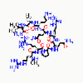 CN[C@@H](CCCNC(=N)N)C(=O)N[C@@H](CCCNC(=N)N)C(=O)N1CCC[C@H]1C(=O)N[C@@H](CCC(N)=O)C(=O)N[C@@H](CCCNC(=N)N)C(=O)N[C@@H](CCC(N)=O)C(=O)N[C@@H](CCCCN)C(=O)N[C@@H](C)C(=O)N[C@H](C(N)=O)C(C)C